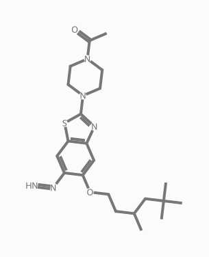 CC(=O)N1CCN(c2nc3cc(OCCC(C)CC(C)(C)C)c(N=N)cc3s2)CC1